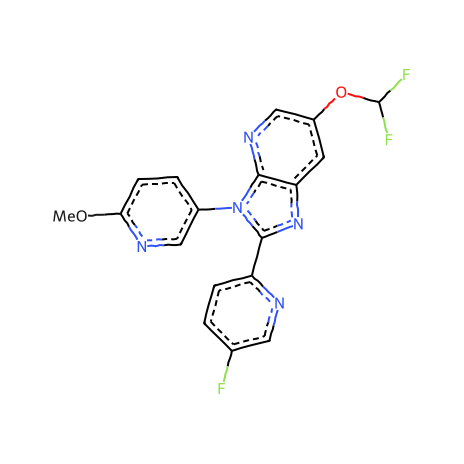 COc1ccc(-n2c(-c3ccc(F)cn3)nc3cc(OC(F)F)cnc32)cn1